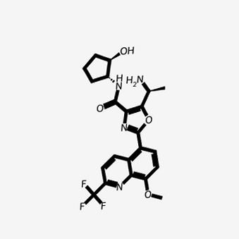 COc1ccc(-c2nc(C(=O)N[C@@H]3CCC[C@H]3O)c([C@H](C)N)o2)c2ccc(C(F)(F)F)nc12